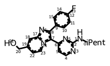 CCCC(C)Nc1nccc(-c2c(-c3ccc(F)cc3)nc3cc(CO)ccn23)n1